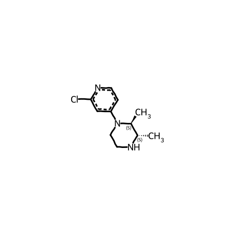 C[C@@H]1NCCN(c2ccnc(Cl)c2)[C@H]1C